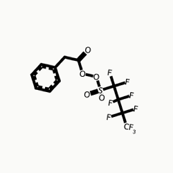 O=C(Cc1ccccc1)OOS(=O)(=O)C(F)(F)C(F)(F)C(F)(F)C(F)(F)F